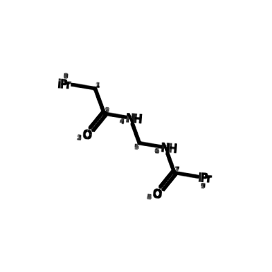 CC(C)CC(=O)NCNC(=O)C(C)C